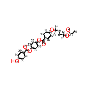 C=CC(=O)OC(C)(C)CCC(C)(C)Oc1ccc(C(=O)Oc2ccc(OC(=O)c3ccc(O)cc3)cc2)cc1